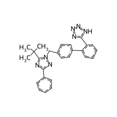 CC(C)(C)c1nc(-c2ccccc2)nn1Cc1ccc(-c2ccccc2-c2nnn[nH]2)cc1